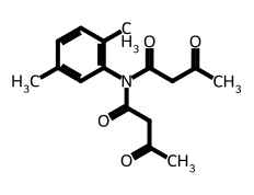 CC(=O)CC(=O)N(C(=O)CC(C)=O)c1cc(C)ccc1C